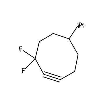 CC(C)C1CCC#CC(F)(F)CC1